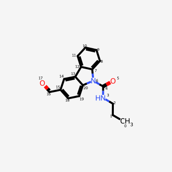 CCCNC(=O)n1c2ccccc2c2cc(C=O)ccc21